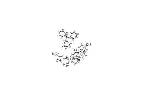 CC(C)CCCC(C)[C@H]1CC[C@H]2[C@@H]3CC=C4C[C@@H](O)CC[C@]4(C)[C@H]3CC[C@]12C.c1ccc(N(c2ccccc2)c2ccccc2)cc1